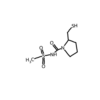 CS(=O)(=O)NC(=O)N1CCCC1CS